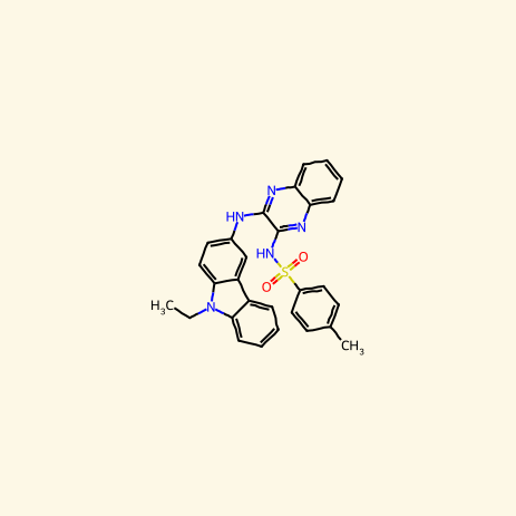 CCn1c2ccccc2c2cc(Nc3nc4ccccc4nc3NS(=O)(=O)c3ccc(C)cc3)ccc21